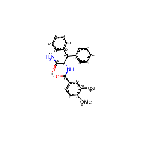 COc1ccc(C(=O)N[C@H](C(N)=O)C(c2ccccc2)c2ccccc2)cc1C(C)(C)C